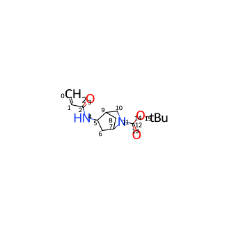 C=CC(=O)NC1CC2CC1CN2C(=O)OC(C)(C)C